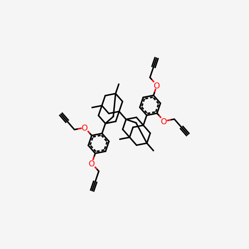 C#CCOc1ccc(C23CC4(C)CC(C)(C2)CC(C25CC6(C)CC(C)(CC(c7ccc(OCC#C)cc7OCC#C)(C6)C2)C5)(C4)C3)c(OCC#C)c1